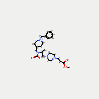 COC(=O)CCN1CCN(C2OC(=O)N(CC3CCN(Cc4ccccc4)CC3)C2C)CC1